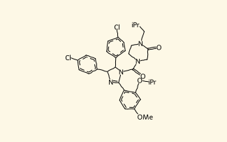 COc1ccc(C2=NC(c3ccc(Cl)cc3)C(c3ccc(Cl)cc3)N2C(=O)N2CCN(CC(C)C)C(=O)C2)c(OC(C)C)c1